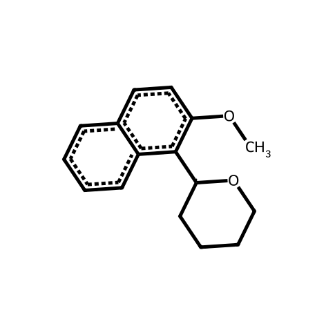 COc1ccc2ccccc2c1[C]1CCCCO1